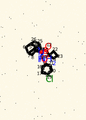 NC(=O)C12CC3CC(C1)C(NC(=O)C1(Oc4ccc(Cl)cc4)CCC1)C(C3)C2